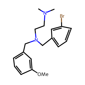 COc1cccc(CN(CCN(C)C)Cc2cccc(Br)c2)c1